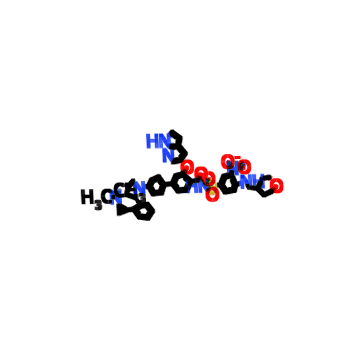 CN(C)C1CC1c1ccccc1[C@H]1CCCN1c1ccc(-c2ccc(C(=O)NS(=O)(=O)c3ccc(NCC4CCOCC4)c([N+](=O)[O-])c3)c(Oc3cnc4[nH]ccc4c3)c2)cc1